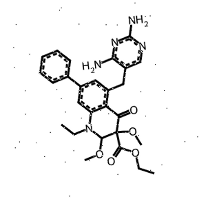 CCOC(=O)C1(OC)C(=O)c2c(Cc3cnc(N)nc3N)cc(-c3ccccc3)cc2N(CC)C1OC